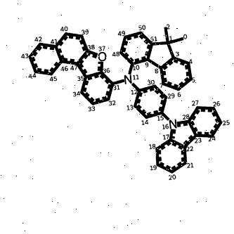 CC1(C)c2ccccc2-c2c(N(c3ccc(-n4c5ccccc5c5ccccc54)cc3)c3cccc4c3oc3ccc5ccccc5c34)cccc21